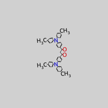 Cc1ccc(N(c2ccc(C)cc2)c2ccc(C(=O)CC(=O)c3ccc(N(c4ccc(C)cc4)c4ccc(C)cc4)cc3)cc2)cc1